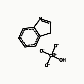 C1=Nc2ccccc2C1.[O-][Cl+3]([O-])([O-])O